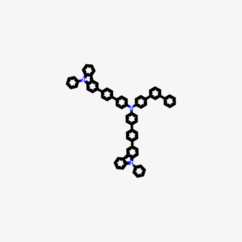 c1ccc(-c2cccc(-c3ccc(N(c4ccc(-c5ccc(-c6ccc7c(c6)c6ccccc6n7-c6ccccc6)cc5)cc4)c4ccc(-c5ccc(-c6ccc7c(c6)c6ccccc6n7-c6ccccc6)cc5)cc4)cc3)c2)cc1